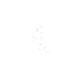 N#Cc1ccc(-n2cnc(N)c2C(=O)c2ccccc2)cc1